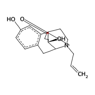 C=CCN1CCC23CC(=O)CC[C@@]2(O)C1Cc1ccc(O)cc13